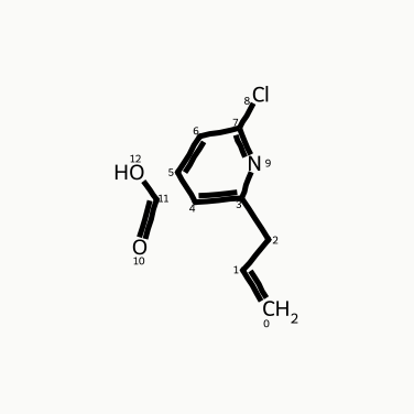 C=CCc1cccc(Cl)n1.O=CO